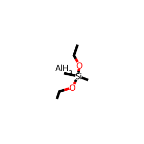 CCO[Si](C)(C)OCC.[AlH3]